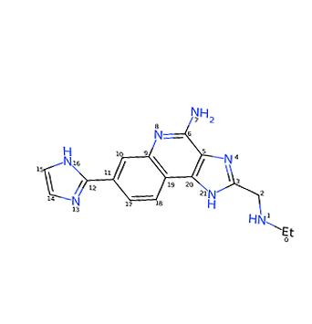 CCNCc1nc2c(N)nc3cc(-c4ncc[nH]4)ccc3c2[nH]1